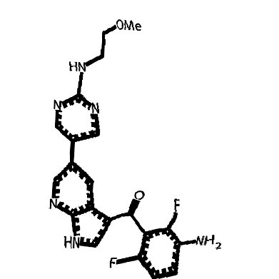 COCCNc1ncc(-c2cnc3[nH]cc(C(=O)c4c(F)ccc(N)c4F)c3c2)cn1